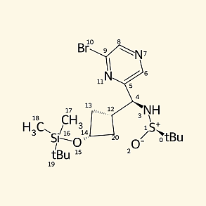 CC(C)(C)[S@@+]([O-])N[C@H](c1cncc(Br)n1)[C@H]1C[C@@H](O[Si](C)(C)C(C)(C)C)C1